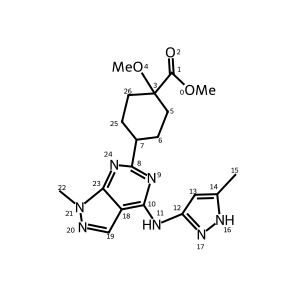 COC(=O)C1(OC)CCC(c2nc(Nc3cc(C)[nH]n3)c3cnn(C)c3n2)CC1